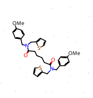 COc1ccc(CN(Cc2cccs2)C(=O)CCCCC(=O)N(Cc2ccc(OC)cc2)Cc2cccs2)cc1